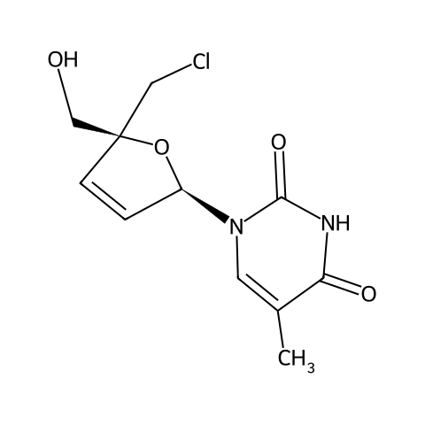 Cc1cn([C@H]2C=C[C@](CO)(CCl)O2)c(=O)[nH]c1=O